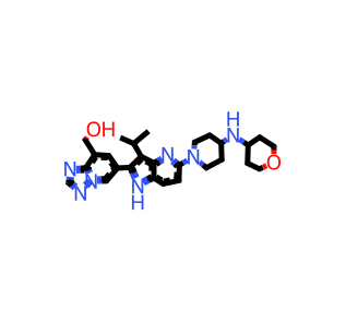 CC(C)c1c(-c2cc(CO)c3ncnn3c2)[nH]c2ccc(N3CCC(NC4CCOCC4)CC3)nc12